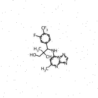 Cc1cc(NC(c2ccc(C(F)(F)F)c(F)c2)C(C)(C)CO)n2ncnc2n1